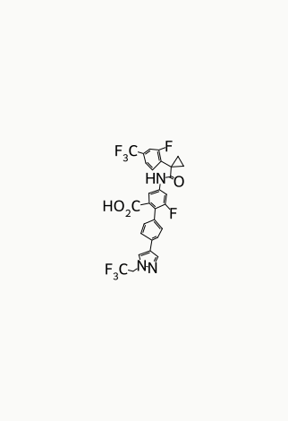 O=C(O)c1cc(NC(=O)C2(c3ccc(C(F)(F)F)cc3F)CC2)cc(F)c1-c1ccc(-c2cnn(CC(F)(F)F)c2)cc1